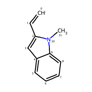 [CH]=Cc1cc2ccccc2n1C